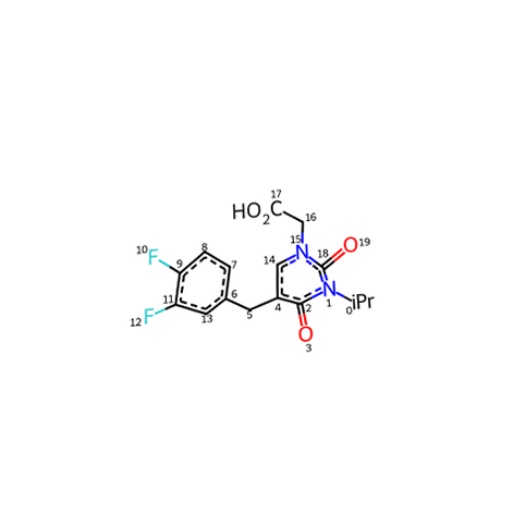 CC(C)n1c(=O)c(Cc2ccc(F)c(F)c2)cn(CC(=O)O)c1=O